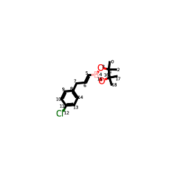 CC1(C)OB(C=CCc2ccc(Cl)cc2)OC1(C)C